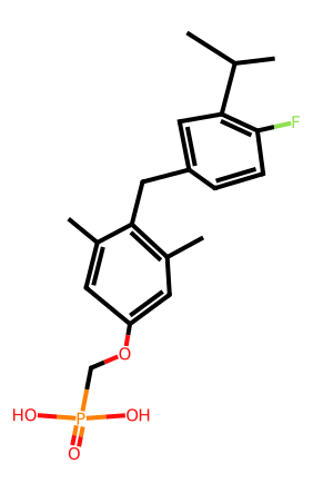 Cc1cc(OCP(=O)(O)O)cc(C)c1Cc1ccc(F)c(C(C)C)c1